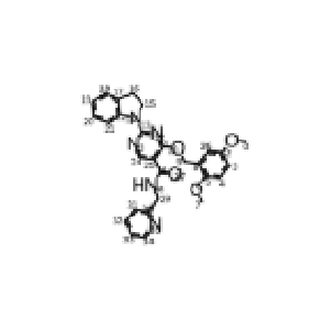 COc1ccc(OC)c(COc2nc(N3CCc4ccccc43)ncc2C(=O)NCc2ccccn2)c1